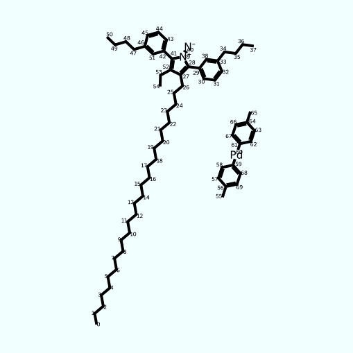 CCCCCCCCCCCCCCCCCCCCCCCCCCCC1=C(c2cccc(CCCC)c2)[N+](=[N-])C(c2cccc(CCCC)c2)=C1CC.Cc1cc[c]([Pd][c]2ccc(C)cc2)cc1